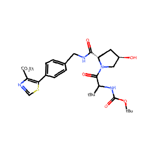 CCOC(=O)c1ncsc1-c1ccc(CNC(=O)[C@@H]2C[C@@H](O)CN2C(=O)C(NC(=O)OC(C)(C)C)C(C)(C)C)cc1